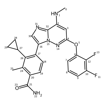 CNc1cc(Oc2cccc(F)c2F)nn2c(-c3ccc(C(N)=O)c(C)c3C3CC3)cnc12